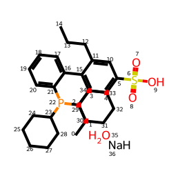 CCCc1cc(S(=O)(=O)O)cc(CCC)c1-c1ccccc1P(C1CCCCC1)C1CCCCC1.O.[NaH]